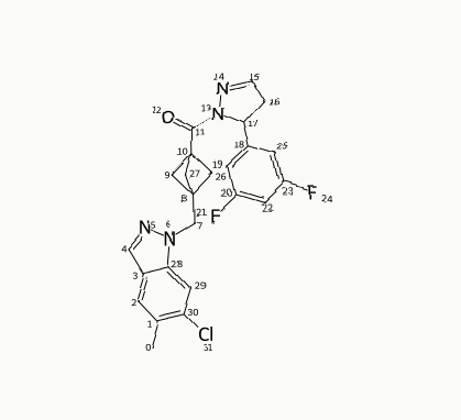 Cc1cc2cnn(CC34CC(C(=O)N5N=CCC5c5cc(F)cc(F)c5)(C3)C4)c2cc1Cl